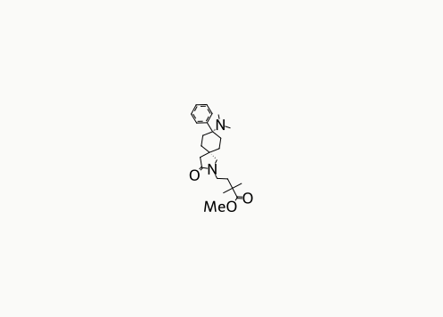 COC(=O)C(C)(C)CCN1C[C@]2(CC[C@@](c3ccccc3)(N(C)C)CC2)CC1=O